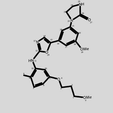 COCCCOc1ccc(C)c(Nc2ncc(-c3cc(OC)cc(N4CCNC4=O)c3)o2)c1